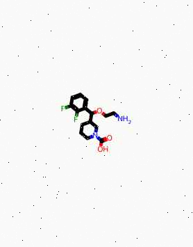 NCCOC(c1cccc(F)c1F)C1CCCN(C(=O)O)C1